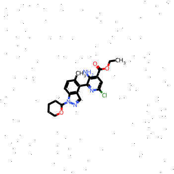 CCOC(=O)c1cc(Cl)nc(-c2c(C)ccc3c2cnn3C2CCCCO2)c1N